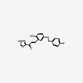 O=C(C=Cc1cc(OCc2ccc(F)cc2)ccc1O)c1nc[nH]n1